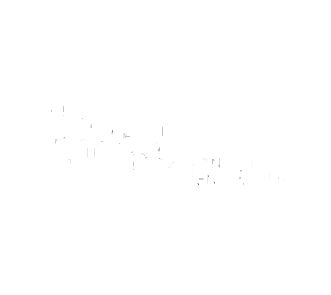 CC(C)C1=C2[C@H]3CC[C@@H]4[C@@]5(C)CC=C(c6cn(CC(=O)OC(C)(C)C)nn6)C(C)(C)[C@@H]5CC[C@@]4(C)[C@]3(C)CC[C@@]2(C=O)CC1=O